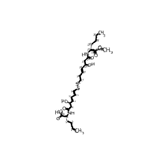 CCCC[C@@H](NC(=O)CC(O)C=CCCSSCCC=CC(O)CC(=O)N[C@H](CCCC)C(=O)OC)C(=O)O